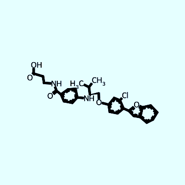 CC(C)[C@@H](COc1ccc(-c2cc3ccccc3o2)c(Cl)c1)Nc1ccc(C(=O)NCCC(=O)O)cc1